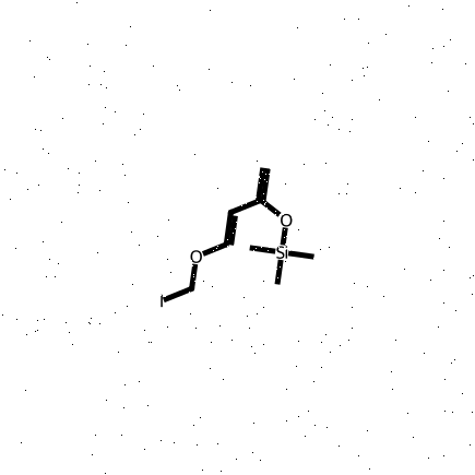 C=C(C=COCI)O[Si](C)(C)C